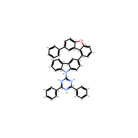 c1ccc(-c2ccc3oc4cccc(-c5ccc6c(c5)c5ccccc5n6-c5nc(-c6ccccc6)nc(-c6ccccc6)n5)c4c3c2)cc1